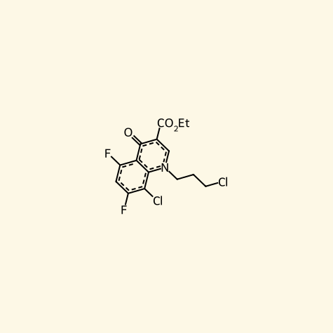 CCOC(=O)c1cn(CCCCl)c2c(Cl)c(F)cc(F)c2c1=O